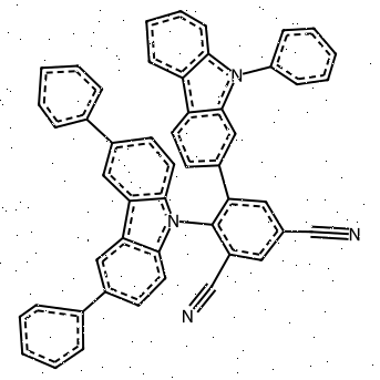 N#Cc1cc(C#N)c(-n2c3ccc(-c4ccccc4)cc3c3cc(-c4ccccc4)ccc32)c(-c2ccc3c4ccccc4n(-c4ccccc4)c3c2)c1